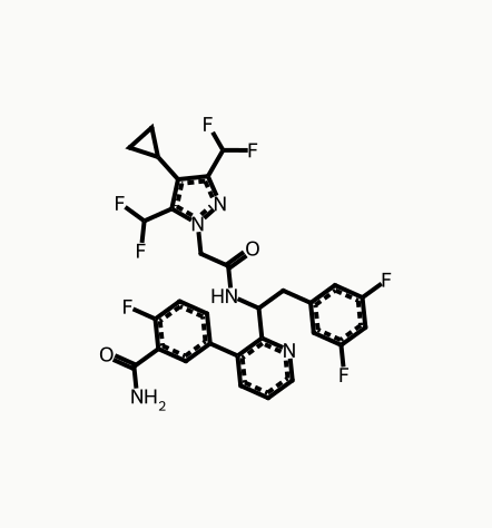 NC(=O)c1cc(-c2cccnc2C(Cc2cc(F)cc(F)c2)NC(=O)Cn2nc(C(F)F)c(C3CC3)c2C(F)F)ccc1F